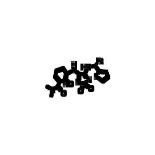 CC[C@@H](NC1=NS(=O)(=O)N=C1Nc1cccc(C(=O)N(C)C)c1O)c1cccs1